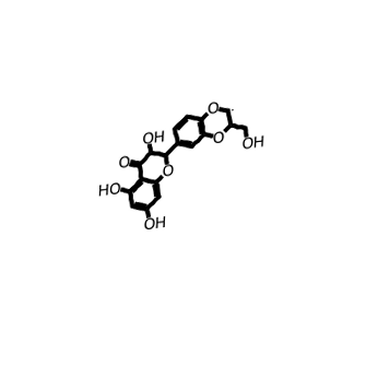 O=C1c2c(O)cc(O)cc2OC(c2ccc3c(c2)OC(CO)[CH]O3)C1O